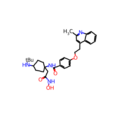 Cc1cc(CCOc2ccc(C(=O)NC3(CC(=O)NO)CCC(NC(C)(C)C)CC3)cc2)c2ccccc2n1